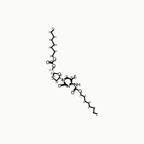 CCCCCCCCOC(=O)Nc1nc(=O)n([C@@H]2CS[C@H](COC(=O)OCCCCCCCC)O2)cc1F